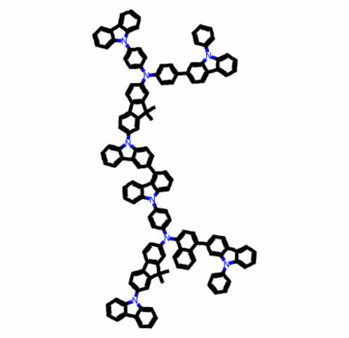 CC1(C)c2cc(N(c3ccc(-c4ccc5c6ccccc6n(-c6ccccc6)c5c4)cc3)c3ccc(-n4c5ccccc5c5ccccc54)cc3)ccc2-c2ccc(-n3c4ccccc4c4cc(-c5cccc6c5c5ccccc5n6-c5ccc(N(c6ccc7c(c6)C(C)(C)c6cc(-n8c9ccccc9c9ccccc98)ccc6-7)c6ccc(-c7ccc8c9ccccc9n(-c9ccccc9)c8c7)c7ccccc67)cc5)ccc43)cc21